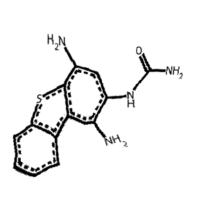 NC(=O)Nc1cc(N)c2sc3ccccc3c2c1N